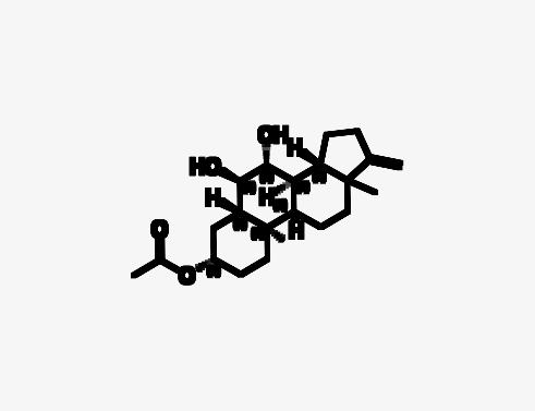 C=C1CC[C@H]2[C@@H]3[C@@H](O)[C@H](O)[C@H]4C[C@@H](OC(C)=O)CC[C@]4(C)[C@H]3CCC12C